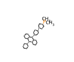 CP(C)c1ccc(-c2ccc(-c3c4ccccc4c(-c4ccccc4)c4ccccc34)cc2)cc1